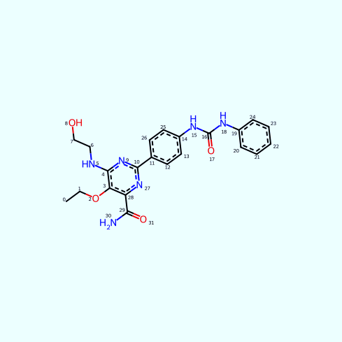 CCOc1c(NCCO)nc(-c2ccc(NC(=O)Nc3ccccc3)cc2)nc1C(N)=O